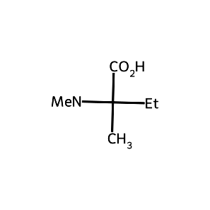 [CH2]CC(C)(NC)C(=O)O